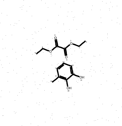 CCOC(=O)C(=O)OCC.Cc1cccc(O)c1O